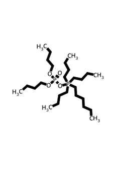 CCCCCCP(CCCC)(CCCC)(CCCC)OP(=O)(OCCCC)OCCCC